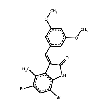 COc1cc(C=C2C(=O)Nc3c(Br)cc(Br)c(C)c32)cc(OC)c1